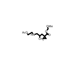 COCOC(=O)C1(CC(C)CNCCOC(C)=O)CC1